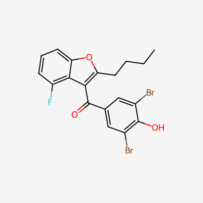 CCCCc1oc2cccc(F)c2c1C(=O)c1cc(Br)c(O)c(Br)c1